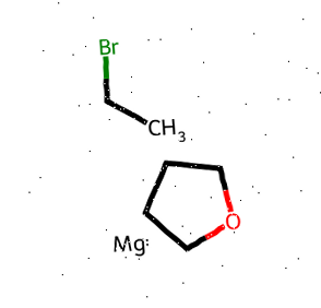 C1CCOC1.CCBr.[Mg]